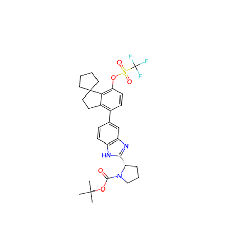 CC(C)(C)OC(=O)N1CCC[C@H]1c1nc2cc(-c3ccc(OS(=O)(=O)C(F)(F)F)c4c3CCC43CCCC3)ccc2[nH]1